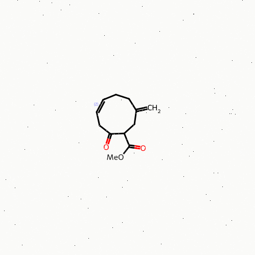 C=C1CC/C=C\CC(=O)C(C(=O)OC)C1